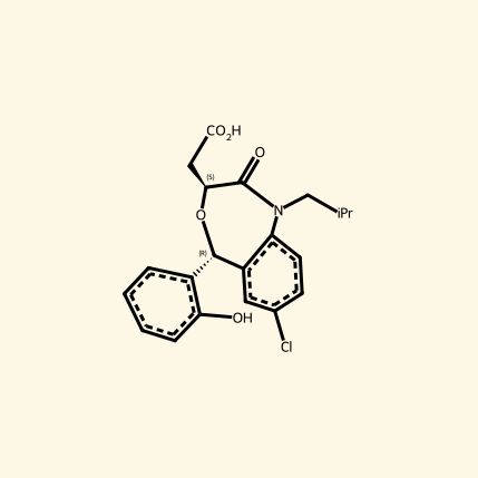 CC(C)CN1C(=O)[C@H](CC(=O)O)O[C@@H](c2ccccc2O)c2cc(Cl)ccc21